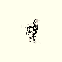 COC(OC)c1cc2cnc(CO)c3c2n1C(=O)OC3(C)C